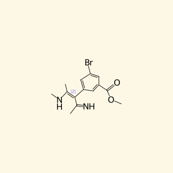 CN/C(C)=C(\C(C)=N)c1cc(Br)cc(C(=O)OC)c1